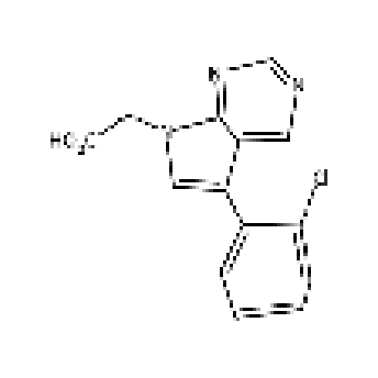 O=C(O)Cn1cc(-c2ccccc2Cl)c2cncnc21